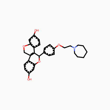 Oc1ccc2c(c1)OC(c1ccc(OCCN3CCCCCC3)cc1)C1=C2COc2cc(O)ccc21